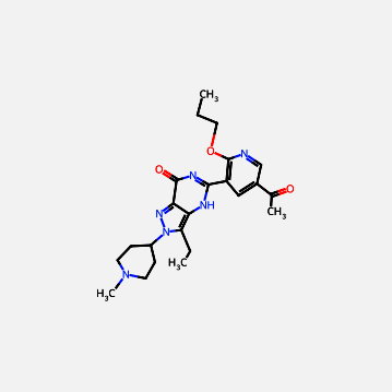 CCCOc1ncc(C(C)=O)cc1-c1nc(=O)c2nn(C3CCN(C)CC3)c(CC)c2[nH]1